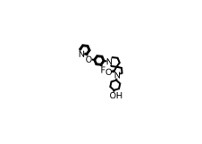 O=C1N(C2CCC(O)CC2)CCC12CCCN(c1ccc(Oc3ccccn3)cc1F)C2